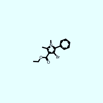 CCOC(=O)c1c(Br)c(-c2ccccc2)n(C)c1C